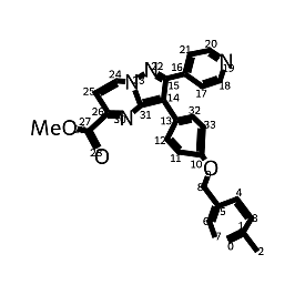 C=C(C)/C=C\C(=C/C)COc1ccc(-c2c(-c3ccncc3)nn3ccc(C(=O)OC)nc23)cc1